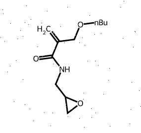 C=C(COCCCC)C(=O)NCC1CO1